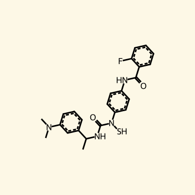 CC(NC(=O)N(S)c1ccc(NC(=O)c2ccccc2F)cc1)c1cccc(N(C)C)c1